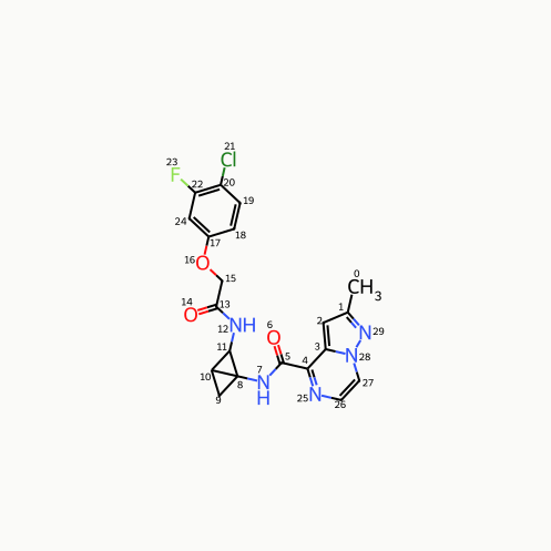 Cc1cc2c(C(=O)NC34CC3C4NC(=O)COc3ccc(Cl)c(F)c3)nccn2n1